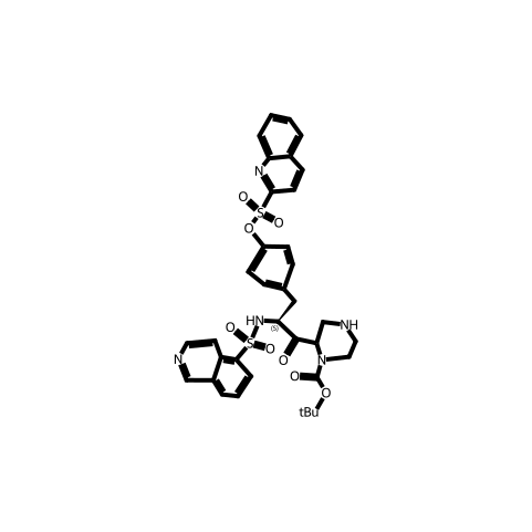 CC(C)(C)OC(=O)N1CCNCC1C(=O)[C@H](Cc1ccc(OS(=O)(=O)c2ccc3ccccc3n2)cc1)NS(=O)(=O)c1cccc2cnccc12